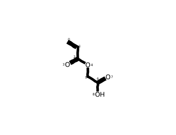 C=CC(=O)OCC(=O)O